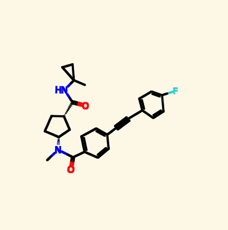 CN(C(=O)c1ccc(C#Cc2ccc(F)cc2)cc1)[C@@H]1CC[C@H](C(=O)NC2(C)CC2)C1